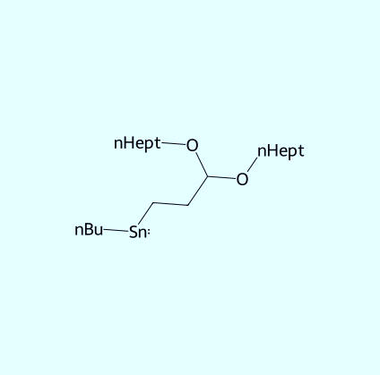 CCCCCCCOC(C[CH2][Sn][CH2]CCC)OCCCCCCC